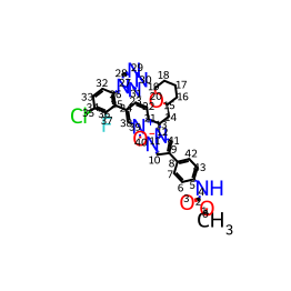 COC(=O)Nc1ccc(-c2cnn(C(C[C@@H]3CCCCO3)c3ccc(-c4c(-n5cnnn5)ccc(Cl)c4F)c[n+]3[O-])c2)cc1